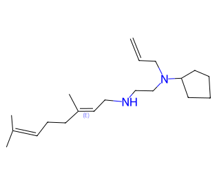 C=CCN(CCNC/C=C(\C)CCC=C(C)C)C1CCCC1